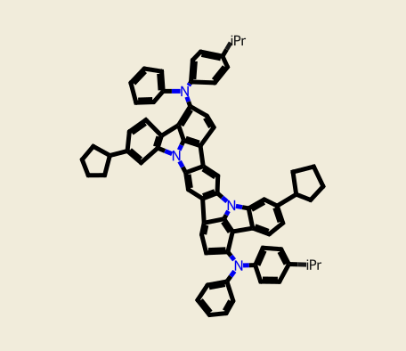 CC(C)c1ccc(N(c2ccccc2)c2ccc3c4cc5c(cc4n4c6cc(C7CCCC7)ccc6c2c34)c2ccc(N(c3ccccc3)c3ccc(C(C)C)cc3)c3c4ccc(C6CCCC6)cc4n5c23)cc1